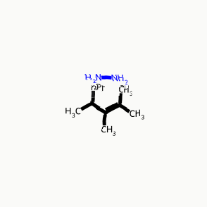 CCCC(C)C(C)=C(C)C.NN